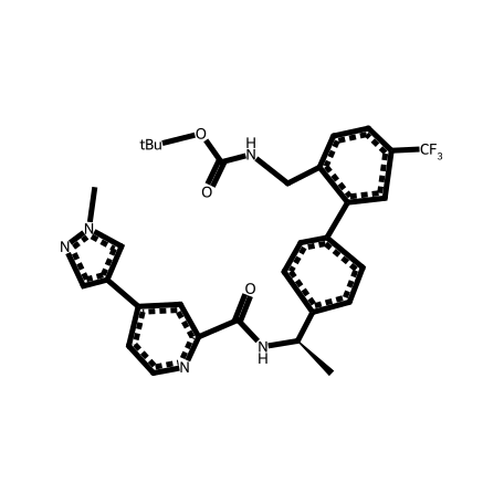 C[C@@H](NC(=O)c1cc(-c2cnn(C)c2)ccn1)c1ccc(-c2cc(C(F)(F)F)ccc2CNC(=O)OC(C)(C)C)cc1